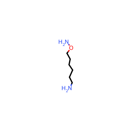 NCCCCCCON